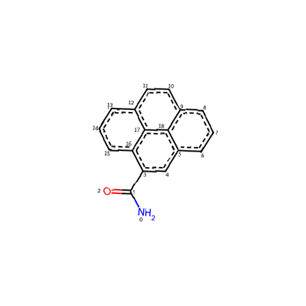 NC(=O)c1cc2cccc3ccc4[c]ccc1c4c32